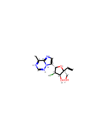 C=C[C@]1(CO)O[C@@H](c2cnc3c(C)ncnn23)[C@H](F)[C@@H]1O